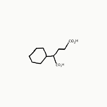 O=C(O)CCC(C(=O)O)C1CCCCC1